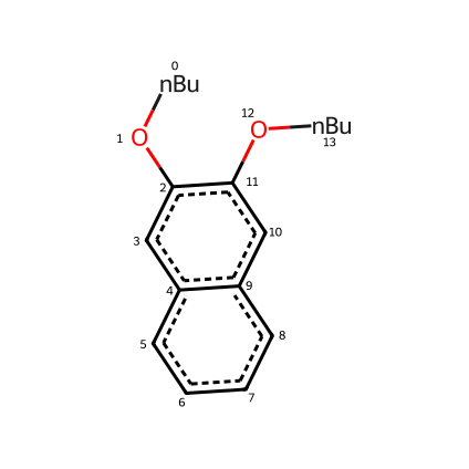 CCCCOc1cc2ccccc2cc1OCCCC